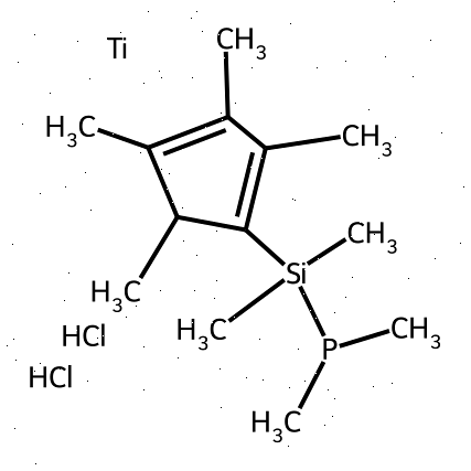 CC1=C(C)C(C)C([Si](C)(C)P(C)C)=C1C.Cl.Cl.[Ti]